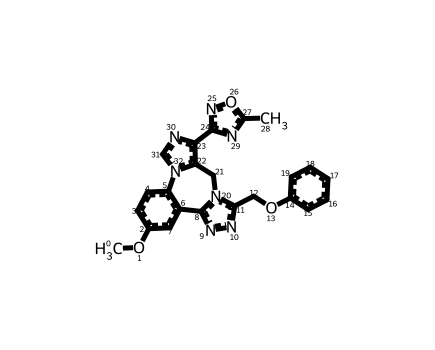 COc1ccc2c(c1)-c1nnc(COc3ccccc3)n1Cc1c(-c3noc(C)n3)ncn1-2